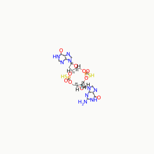 Nc1nc2c(ncn2[C@@H]2O[C@@H]3CO[P@@](=O)(S)O[C@H]4C[C@H](n5cnc6c(=O)[nH]cnc65)O[C@@H]4CO[P@](=O)(S)O[C@@H]2[C@@H]3F)c(=O)[nH]1